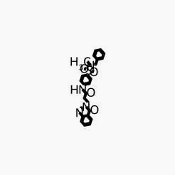 CN(Cc1ccccc1)S(=O)(=O)c1ccc(NC(=O)CCn2cnc3ccccc3c2=O)cc1